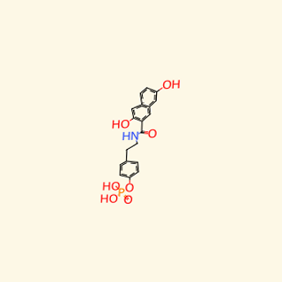 O=C(NCCc1ccc(OP(=O)(O)O)cc1)c1cc2cc(O)ccc2cc1O